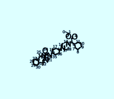 CCOC(=O)C(c1ccccc1)N1CCN(c2ccc(-n3cnn(C(C)c4ccccc4F)c3=O)cc2)CC1